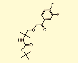 CC(C)(COCC(=O)c1ccc(F)c(F)c1)NC(=O)OC(C)(C)C